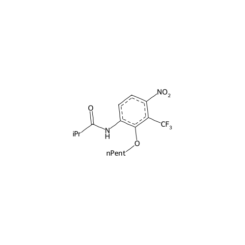 CCCCCOc1c(NC(=O)C(C)C)ccc([N+](=O)[O-])c1C(F)(F)F